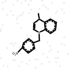 CC1C=CN(Cc2ccc([N+](=O)[O-])cc2)c2ccccc21